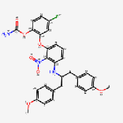 COc1ccc(CC(Cc2ccc(OC)cc2)Nc2cccc(Oc3cc(F)ccc3OC(N)=O)c2[N+](=O)[O-])cc1